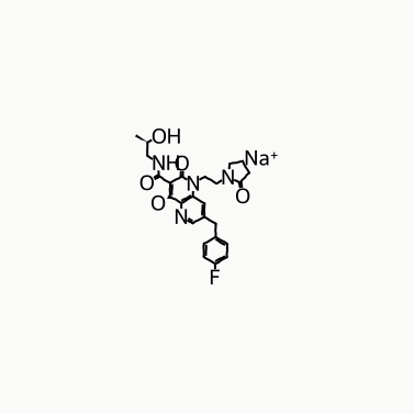 C[C@@H](O)CNC(=O)c1c([O-])c2ncc(Cc3ccc(F)cc3)cc2n(CCN2CCCC2=O)c1=O.[Na+]